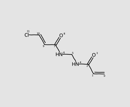 C=CC(=O)NCNC(=O)C=CCl